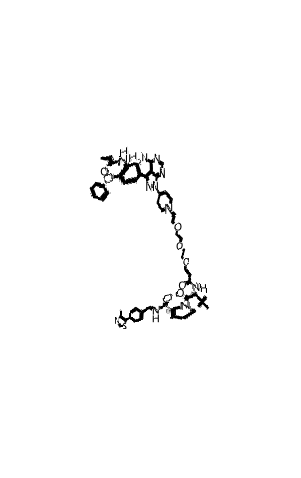 C=CC(=O)Nc1cc(-c2nn(C3CCN(CCOCCOCCOCCC(=O)N[C@@H](C(=O)N4CCC[C@@H]4C(=O)NCc4ccc(-c5scnc5C)cc4)C(C)(C)C)CC3)c3ncnc(N)c23)ccc1Oc1ccccc1